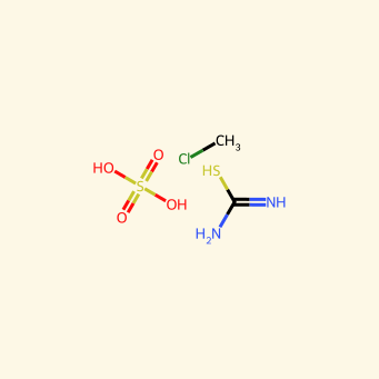 CCl.N=C(N)S.O=S(=O)(O)O